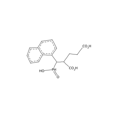 O=C(O)CCC(C(=O)O)C(c1cccc2ccccc12)[PH](=O)O